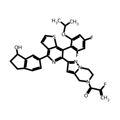 C=C(F)C(=O)N1CCn2nc(-c3nc(-c4ccc5c(c4)C(O)CC5)c4ccsc4c3-c3c(F)cc(F)cc3OC(C)C)cc2C1